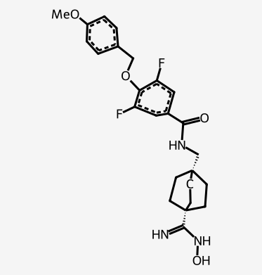 COc1ccc(COc2c(F)cc(C(=O)NC[C@]34CC[C@](C(=N)NO)(CC3)CC4)cc2F)cc1